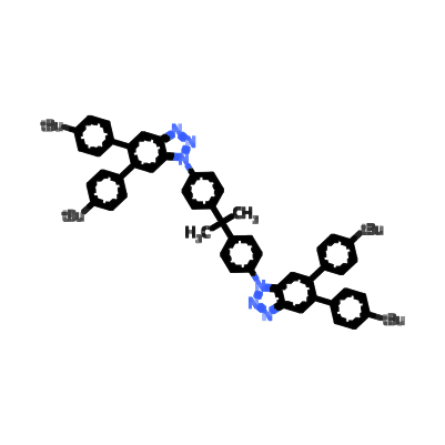 CC(C)(C)c1ccc(-c2cc3nnn(-c4ccc(C(C)(C)c5ccc(-n6nnc7cc(-c8ccc(C(C)(C)C)cc8)c(-c8ccc(C(C)(C)C)cc8)cc76)cc5)cc4)c3cc2-c2ccc(C(C)(C)C)cc2)cc1